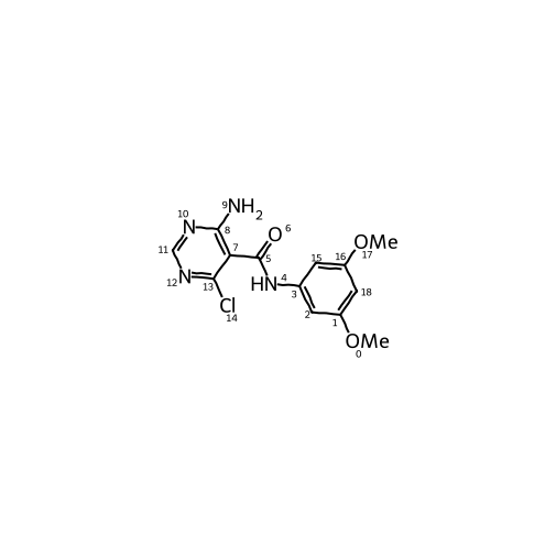 COc1cc(NC(=O)c2c(N)ncnc2Cl)cc(OC)c1